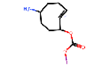 NC1CC/C=C/C(OC(=O)OI)CC1